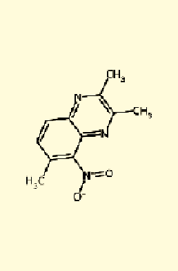 Cc1ccc2nc(C)c(C)nc2c1[N+](=O)[O-]